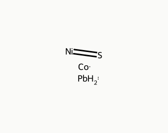 [Co].[PbH2].[S]=[Ni]